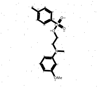 COc1cccc(N(C)CCOS(=O)(=O)c2ccc(C)cc2)c1